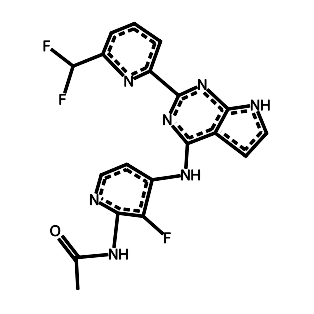 CC(=O)Nc1nccc(Nc2nc(-c3cccc(C(F)F)n3)nc3[nH]ccc23)c1F